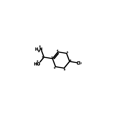 NC(O)C1=CCC(Cl)CC1